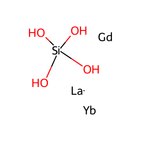 O[Si](O)(O)O.[Gd].[La].[Yb]